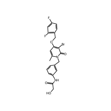 Cc1cc(OCc2ccc(F)cc2F)c(Br)c(=O)n1Cc1cccc(NC(=O)CO)c1